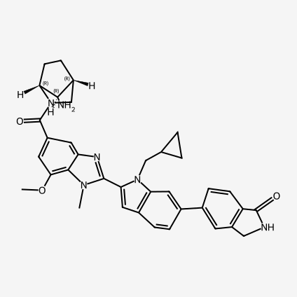 COc1cc(C(=O)N2C[C@H]3CC[C@@H]2[C@@H]3N)cc2nc(-c3cc4ccc(-c5ccc6c(c5)CNC6=O)cc4n3CC3CC3)n(C)c12